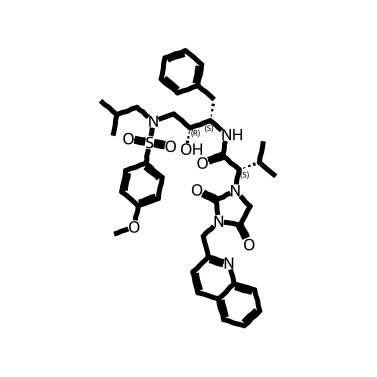 COc1ccc(S(=O)(=O)N(CC(C)C)C[C@@H](O)[C@H](Cc2ccccc2)NC(=O)[C@H](C(C)C)N2CC(=O)N(Cc3ccc4ccccc4n3)C2=O)cc1